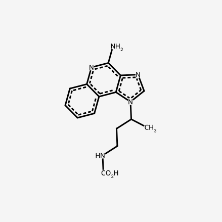 CC(CCNC(=O)O)n1cnc2c(N)nc3ccccc3c21